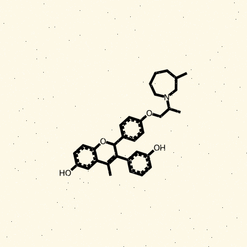 CC1=C(c2cccc(O)c2)C(c2ccc(OCC(C)N3CCCCC(C)C3)cc2)Oc2ccc(O)cc21